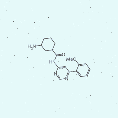 COc1ccccc1-c1cc(NC(=O)C2CCCC(N)C2)ncn1